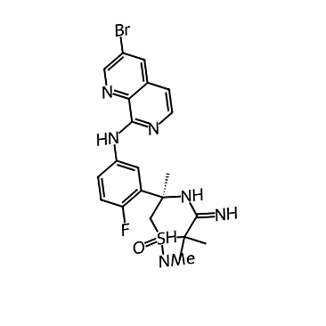 CN[SH]1(=O)C[C@@](C)(c2cc(Nc3nccc4cc(Br)cnc34)ccc2F)NC(=N)C1(C)C